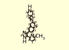 Cc1cccc(-c2[nH]cnc2-c2ccc3ncc(N4CC5(CCNCC5)C4)cc3c2)n1